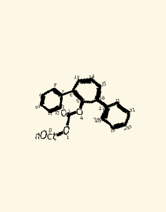 CCCCCCCCOC(=O)Oc1c(-c2ccccc2)cccc1-c1ccccc1